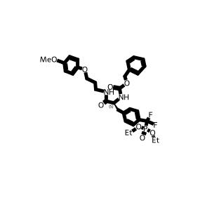 CCOP(=O)(OCC)C(F)(F)c1ccc(C[C@H](NC(=O)OCc2ccccc2)C(=O)NCCCOc2ccc(OC)cc2)cc1